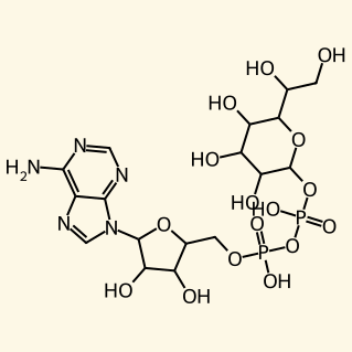 Nc1ncnc2c1ncn2C1OC(COP(=O)(O)OP(=O)(O)OC2OC(C(O)CO)C(O)C(O)C2O)C(O)C1O